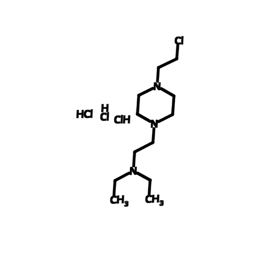 CCN(CC)CCN1CCN(CCCl)CC1.Cl.Cl.Cl